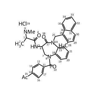 CNC(C)C(=O)NC1CN(C(=O)c2ccc(C(C)=O)cc2)c2ccccc2N(Cc2c(C)ccc3ccccc23)C1=O.Cl